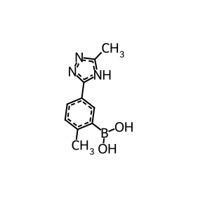 Cc1nnc(-c2ccc(C)c(B(O)O)c2)[nH]1